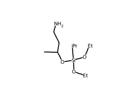 CCO[Si](OCC)(OC(C)CCN)C(C)C